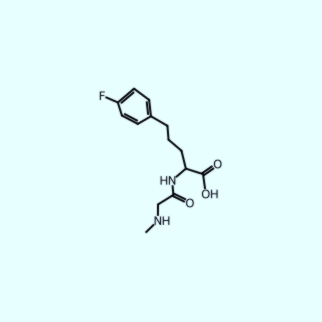 CNCC(=O)NC(CCCc1ccc(F)cc1)C(=O)O